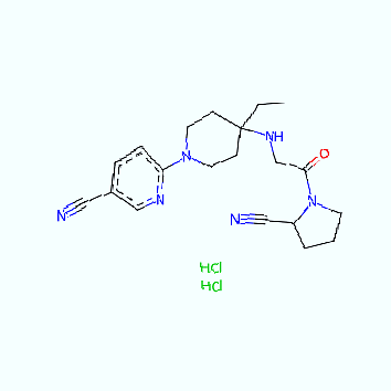 CCC1(NCC(=O)N2CCCC2C#N)CCN(c2ccc(C#N)cn2)CC1.Cl.Cl